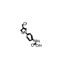 O=Cc1cnn(-c2ccc(NC(=O)O)cc2)c1